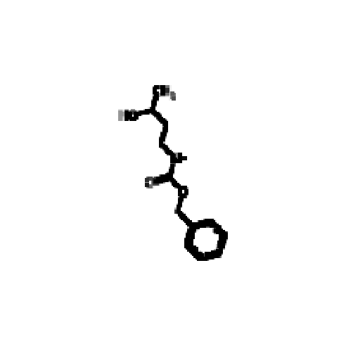 CC(O)CCNC(=O)OCc1ccccc1